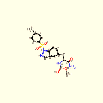 Cc1ccc(S(=O)(=O)n2ncc3cc(CC(NC(=O)OC(C)(C)C)C(N)=O)ccc32)cc1